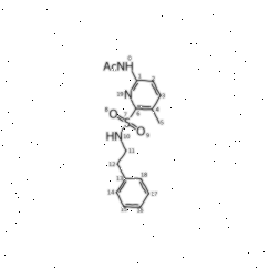 CC(=O)Nc1ccc(C)c(S(=O)(=O)NCCc2ccccc2)n1